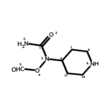 NC(=O)N(OC=O)C1CCNCC1